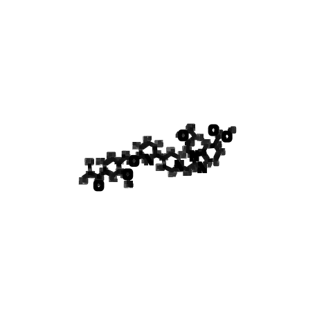 COC(=O)c1ccc2nc(CN3CCC(c4cccc(OCc5ccc(C(=O)C(C)C)cc5OC)n4)CC3)n(CC3CCO3)c2c1